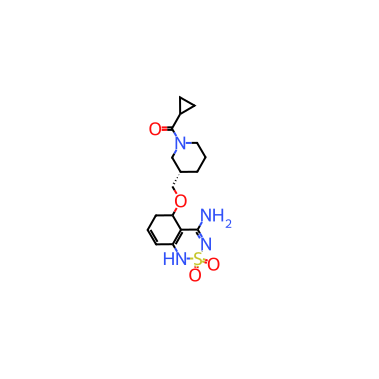 NC1=NS(=O)(=O)NC2=C1C(OC[C@H]1CCCN(C(=O)C3CC3)C1)CC=C2